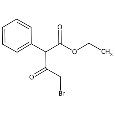 CCOC(=O)C(C(=O)CBr)c1ccccc1